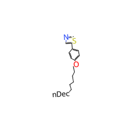 CCCCCCCCCCCCCCCCOc1ccc(-c2cn[c]s2)cc1